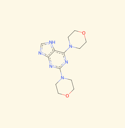 c1nc2nc(N3CCOCC3)nc(N3CCOCC3)c2[nH]1